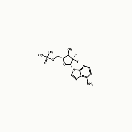 C[C@@]1(F)[C@H](O)[C@@H](COP(=O)(O)O)O[C@H]1n1cnc2c(N)ncnc21